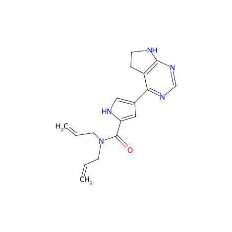 C=CCN(CC=C)C(=O)c1cc(-c2ncnc3c2CCN3)c[nH]1